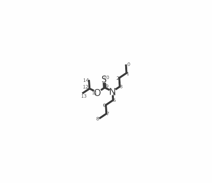 CCCCN(CCCC)C(=S)OC(C)C